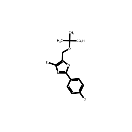 CCc1nc(-c2ccc(Cl)cc2)oc1COC(C)(C)C(=O)O